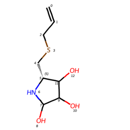 C=CCSC[C@H]1NC(O)C(O)C1O